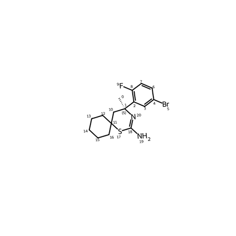 C[C@@]1(c2cc(Br)ccc2F)CC2(CCCCC2)SC(N)=N1